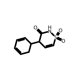 O=C1NS(=O)(=O)C=CC1C1C=CC=CC1